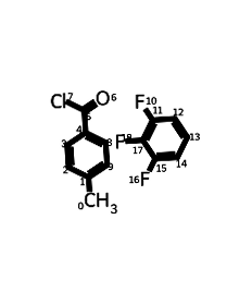 Cc1ccc(C(=O)Cl)cc1.Fc1cccc(F)c1F